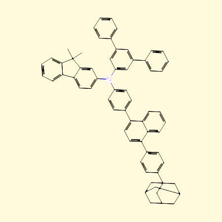 CC1(C)c2ccccc2-c2ccc(N(c3ccc(-c4ccc(-c5ccc(C67CC8CC(CC(C8)C6)C7)cc5)c5ccccc45)cc3)c3cc(-c4ccccc4)cc(-c4ccccc4)c3)cc21